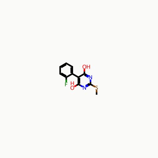 CSc1nc(O)c(-c2ccccc2F)c(O)n1